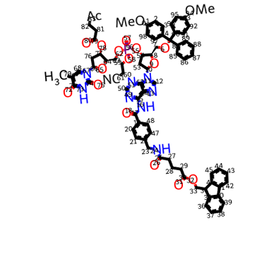 COc1ccc(C(OC[C@H]2O[C@@H](n3cnc4c(NC(=O)c5ccc(CNC(=O)CCCC(=O)OCC6c7ccccc7-c7ccccc76)cc5)ncnc43)C[C@H]2OP(=O)(OCCC#N)OC[C@H]2O[C@@H](n3cc(C)c(=O)[nH]c3=O)C[C@H]2OC(=O)CCC(C)=O)(c2ccccc2)c2ccc(OC)cc2)cc1